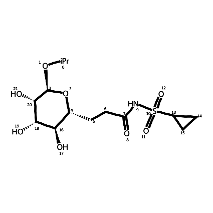 CC(C)O[C@H]1O[C@H](CCC(=O)NS(=O)(=O)C2CC2)[C@@H](O)[C@H](O)[C@@H]1O